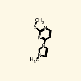 CSc1nccc(N2C=CN(C)C2)n1